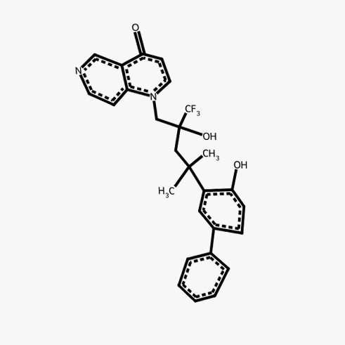 CC(C)(CC(O)(Cn1ccc(=O)c2cnccc21)C(F)(F)F)c1cc(-c2ccccc2)ccc1O